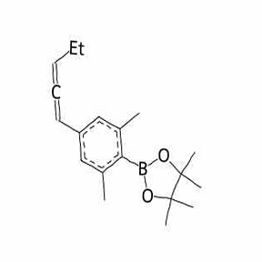 CCC=C=Cc1cc(C)c(B2OC(C)(C)C(C)(C)O2)c(C)c1